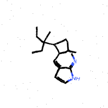 CCC(C)(CC)C1CC(C)C1/C=C1/C=CN/C1=N/C